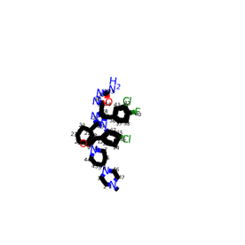 CN1CCN(C2CCN(C(=O)Cc3ccc(Cl)cc3-n3c(C4CCCCC4)nc(-c4nnc(N)o4)c3-c3ccc(F)c(Cl)c3)CC2)CC1